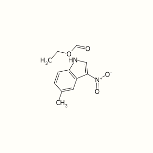 CCOC=O.Cc1ccc2[nH]cc([N+](=O)[O-])c2c1